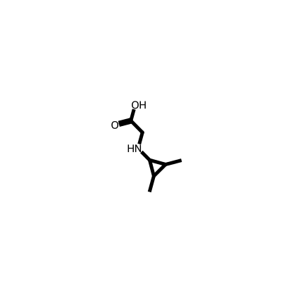 CC1C(C)C1NCC(=O)O